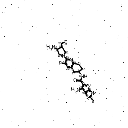 Cc1nc2sc(C(=O)NC3CCc4nc(N5CC(N)C(CF)C5)c(F)cc4C3)c(N)c2s1